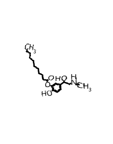 CCCCCCCCC=CC(=O)Oc1cc(C(O)CNC)ccc1O